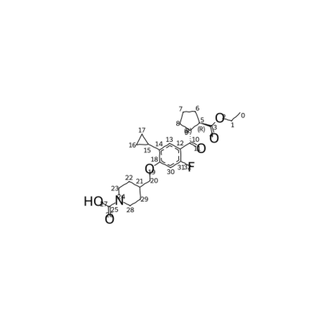 CCOC(=O)[C@@H]1CCC[C@H]1C(=O)c1cc(C2CC2)c(OCC2CCN(C(=O)O)CC2)cc1F